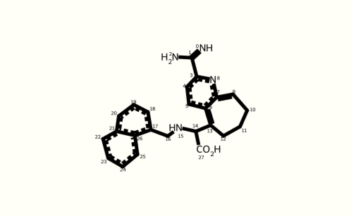 N=C(N)c1ccc2c(n1)=CCCCC=2C(NCc1cccc2ccccc12)C(=O)O